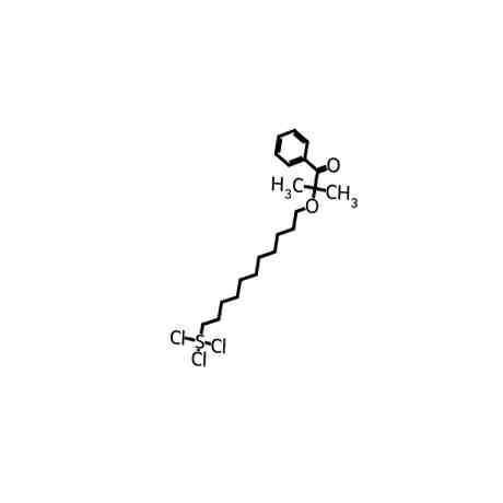 CC(C)(OCCCCCCCCCCCS(Cl)(Cl)Cl)C(=O)c1ccccc1